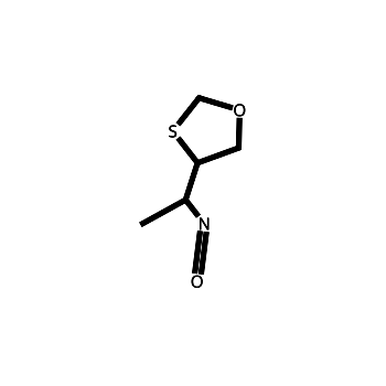 CC(N=O)C1COCS1